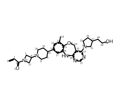 C=CC(=O)N1CC(N2CCC(c3cc(C)c4c(c3)Nc3ncnc(N5CCC(CCO)C5)c3CO4)CC2)C1